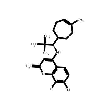 C=C1C=C(N[C@H](C2CCC=C(C)CC2)C(C)(C)C)c2ccc(Cl)c(F)c2O1